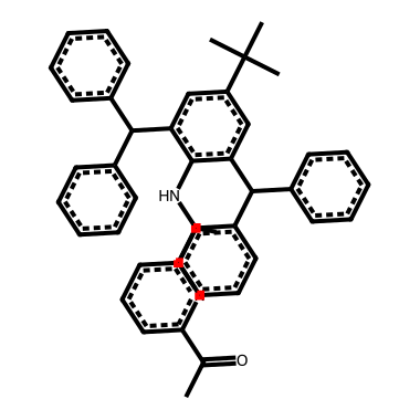 CC(=O)c1cccc(C(C)Nc2c(C(c3ccccc3)c3ccccc3)cc(C(C)(C)C)cc2C(c2ccccc2)c2ccccc2)n1